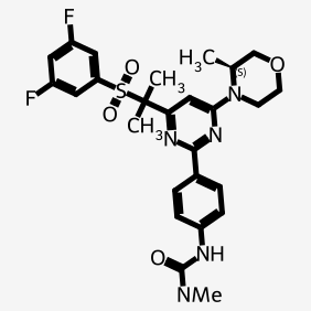 CNC(=O)Nc1ccc(-c2nc(N3CCOC[C@@H]3C)cc(C(C)(C)S(=O)(=O)c3cc(F)cc(F)c3)n2)cc1